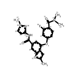 Cc1cc2c(Oc3ccc(C(=O)N(C)C)c(F)c3)cc(C(=O)Nc3ccn(C)n3)cc2o1